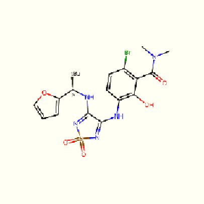 CN(C)C(=O)c1c(Br)ccc(NC2=NS(=O)(=O)N=C2N[C@@H](c2ccco2)C(C)(C)C)c1O